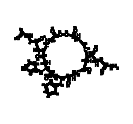 CC(=O)NCC(=O)N[C@H]1CNC(=O)CCC(=O)NCC[C@@H](C(=O)NCC(N)=O)NC(=O)CNC(=O)[C@@H](Cc2ccccc2)NC(=O)[C@H](Cc2c[nH]cn2)NC1=O